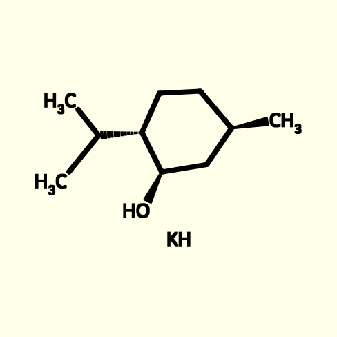 CC(C)[C@@H]1CC[C@@H](C)C[C@H]1O.[KH]